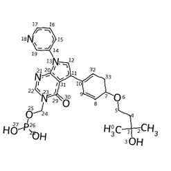 CC(C)(O)CCOC1C=CC(c2cn(-c3cccnc3)c3ncn(COP(O)O)c(=O)c23)=CC1